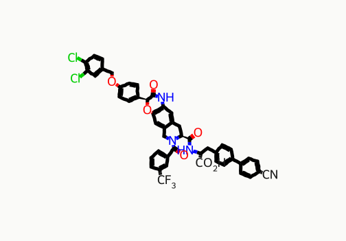 N#Cc1ccc(-c2ccc(CC(NC(=O)[C@@H]3Cc4cc5c(cc4CN3C(=O)c3cccc(C(F)(F)F)c3)O[C@@H](c3ccc(OCc4ccc(Cl)c(Cl)c4)cc3)C(=O)N5)C(=O)O)cc2)cc1